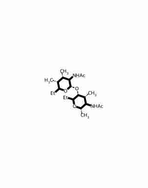 CCC1O[C@@H](O[C@H]2C(CC)O[C@@H](C)C(NC(C)=O)[C@H]2C)C(NC(C)=O)[C@@H](C)[C@H]1C